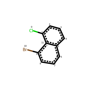 Clc1cccc2c[c]cc(Br)c12